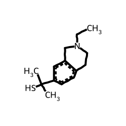 CCN1CCc2ccc(C(C)(C)S)cc2C1